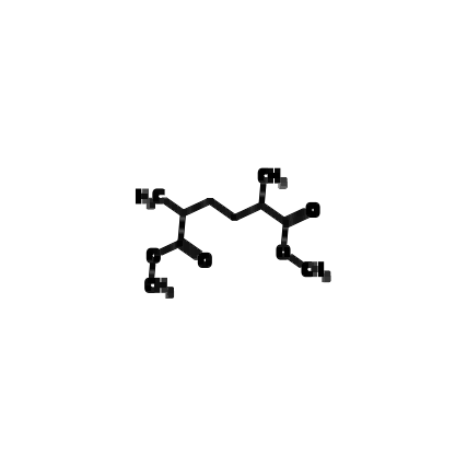 COC(=O)C(C)CCC(C)C(=O)OC